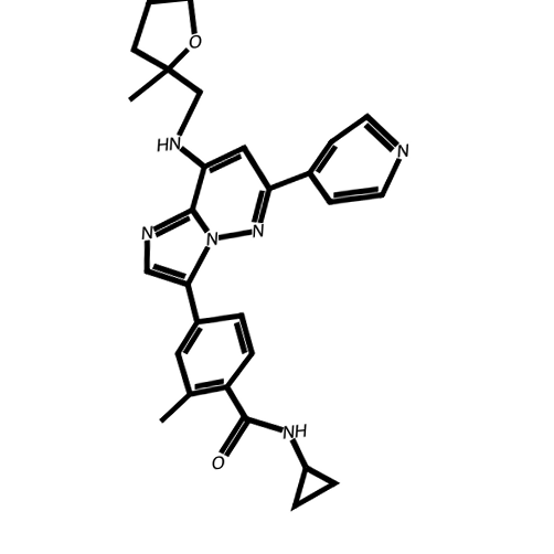 Cc1cc(-c2cnc3c(NCC4(C)CCCO4)cc(-c4ccncc4)nn23)ccc1C(=O)NC1CC1